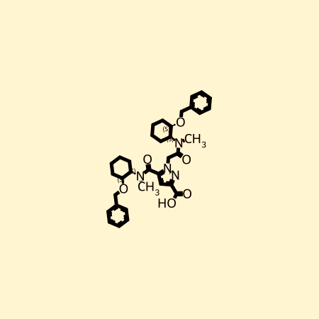 CN(C(=O)Cn1nc(C(=O)O)cc1C(=O)N(C)[C@H]1CCCC[C@@H]1OCc1ccccc1)[C@H]1CCCC[C@@H]1OCc1ccccc1